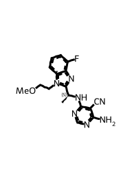 COCCn1c([C@H](C)Nc2ncnc(N)c2C#N)nc2c(F)cccc21